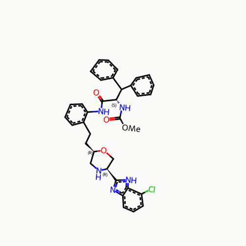 COC(=O)N[C@H](C(=O)Nc1ccccc1CC[C@@H]1CN[C@H](c2nc3cccc(Cl)c3[nH]2)CO1)C(c1ccccc1)c1ccccc1